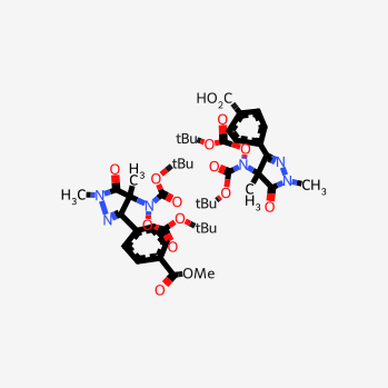 CN1N=C(c2ccc(C(=O)O)cc2)C(C)(N(OC(=O)OC(C)(C)C)C(=O)OC(C)(C)C)C1=O.COC(=O)c1ccc(C2=NN(C)C(=O)C2(C)N(OC(=O)OC(C)(C)C)C(=O)OC(C)(C)C)cc1